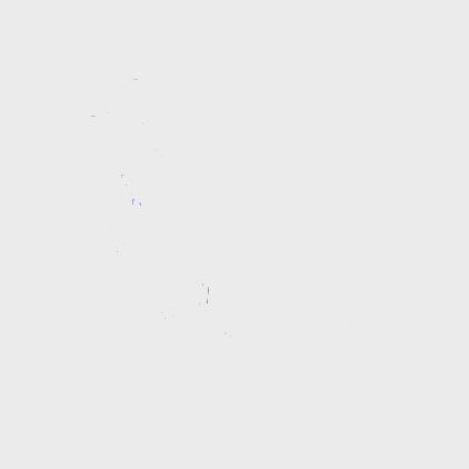 Cc1c2c(cc3c1N(Cc1ccccc1OC(F)(F)F)CCO3)CCN(C(=O)OC(C)(C)C)CC2